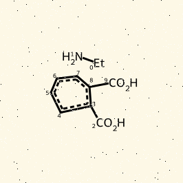 CCN.O=C(O)c1ccccc1C(=O)O